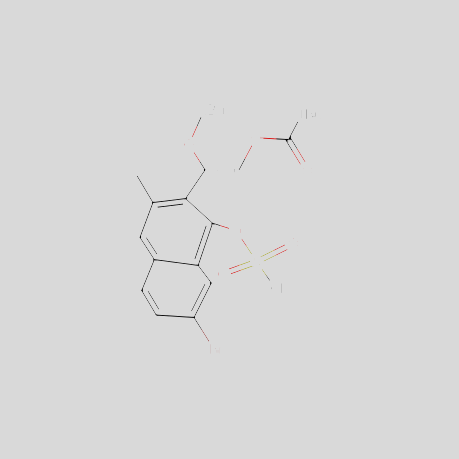 Cc1cc2ccc(Br)cc2c(OS(=O)(=O)C(F)(F)F)c1[C@@H](COC(=O)C(C)(C)C)OC(C)(C)C